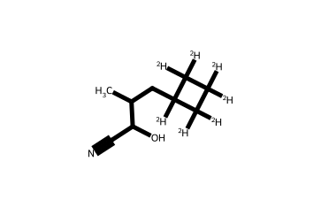 [2H]C1([2H])C([2H])([2H])C([2H])(CC(C)C(O)C#N)C1([2H])[2H]